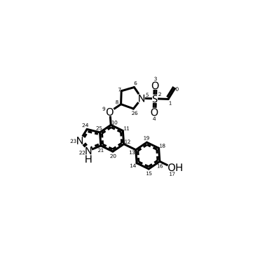 C=CS(=O)(=O)N1CCC(Oc2cc(-c3ccc(O)cc3)cc3[nH]ncc23)C1